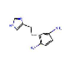 Nc1ccc(N)c(CCc2c[nH]cn2)c1